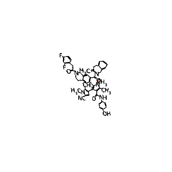 Cc1c(-c2c(C(=O)Nc3ccc(O)cc3)c(C)n(C)c2-c2cc3c(cc2C(=O)N2Cc4ccccc4C[C@H]2C)CN(C(=O)Cc2ccc(F)cc2F)CC3)cc(C#N)n1C